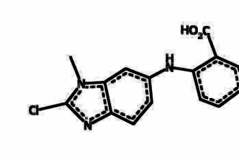 Cn1c(Cl)nc2ccc(Nc3ccccc3C(=O)O)cc21